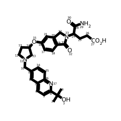 CC(C)(O)c1ccc2cc(CN3CCC(Oc4ccc5c(c4)CN(C(CCC(=O)O)C(N)=O)C5=O)C3)ccc2n1